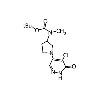 CN(C(=O)OC(C)(C)C)C1CCN(c2cn[nH]c(=O)c2Cl)C1